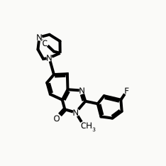 Cn1c(-c2cccc(F)c2)nc2cc(N3CCN4CCC3CC4)ccc2c1=O